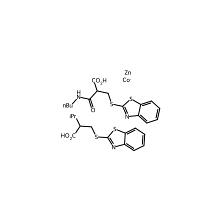 CC(C)C(CSc1nc2ccccc2s1)C(=O)O.CCCCNC(=O)C(CSc1nc2ccccc2s1)C(=O)O.[Co].[Zn]